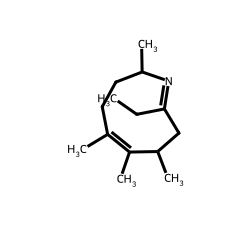 CC/C1=N\C(C)CC/C(C)=C(/C)C(C)C1